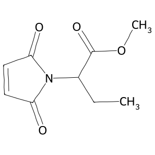 CCC(C(=O)OC)N1C(=O)C=CC1=O